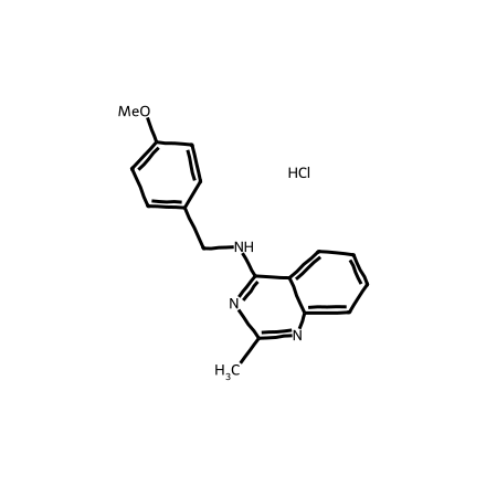 COc1ccc(CNc2nc(C)nc3ccccc23)cc1.Cl